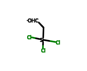 O=[C]C[Si](Cl)(Cl)Cl